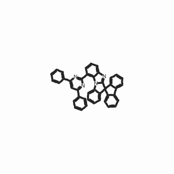 c1ccc(-c2cc(-c3ccccc3)nc(-c3cccc4nc5n(c34)-c3ccccc3C53c4ccccc4-c4ccccc43)n2)cc1